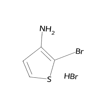 Br.Nc1ccsc1Br